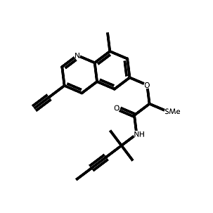 C#Cc1cnc2c(C)cc(OC(SC)C(=O)NC(C)(C)C#CC)cc2c1